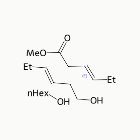 CC/C=C/CC(=O)OC.CCC=CCCO.CCCCCCO